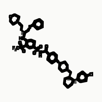 O=C(NS(=O)(=O)c1ccc(N[C@H](CCN2CCOCC2)CSc2ccccc2)c(S(=O)(=O)C(F)(F)F)c1)c1ccc(N2CCN(C[C@@H]3CCCC[C@H]3c3ccc(Cl)cc3)CC2)cc1